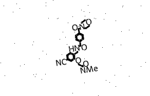 CNC(=O)COc1cc(C#N)ccc1CNC(=O)c1ccc(C(=O)N2CCOCC2)cc1